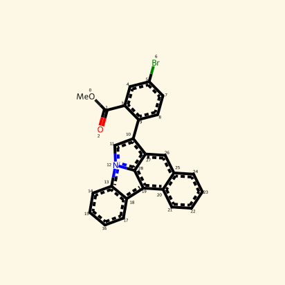 COC(=O)c1cc(Br)ccc1-c1cn2c3ccccc3c3c4ccccc4cc1c32